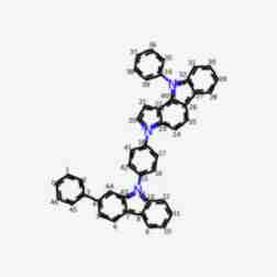 c1ccc(-c2ccc3c4ccccc4n(-c4ccc(-n5ccc6c5ccc5c7ccccc7n(-c7ccccc7)c56)cc4)c3c2)cc1